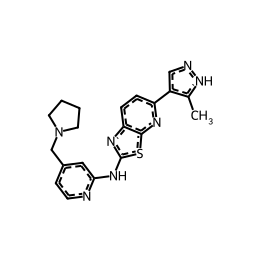 Cc1[nH]ncc1-c1ccc2nc(Nc3cc(CN4CCCC4)ccn3)sc2n1